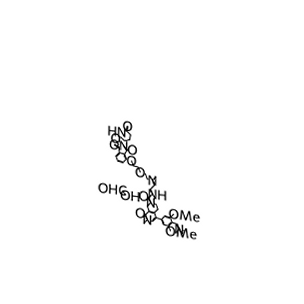 COc1cc(-c2cn(C)c(=O)c3c2CCN(C(=O)NCCN(C)CCOCCOc2cccc4c2C(=O)N(C2CCC(=O)NC2=O)C4=O)C3)cc(OC)c1CN(C)C.O=CO